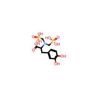 O=C(O)C(Cc1ccc(O)c(O)c1)N(CP(=O)(O)O)CP(=O)(O)O